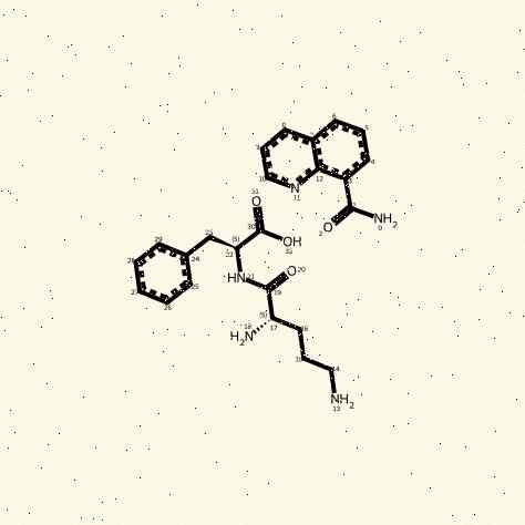 NC(=O)c1cccc2cccnc12.NCCC[C@H](N)C(=O)N[C@@H](Cc1ccccc1)C(=O)O